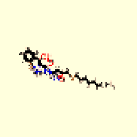 CCCCCCCSCc1cc(NC(=O)C2=C(O)c3ccccc3SN2C)no1